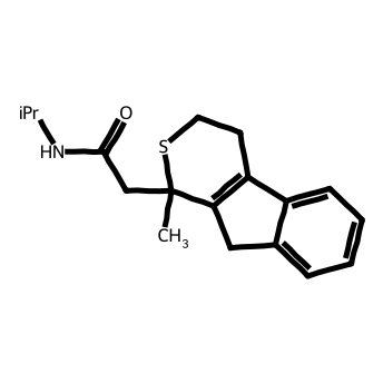 CC(C)NC(=O)CC1(C)SCCC2=C1Cc1ccccc12